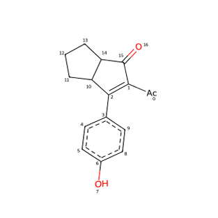 CC(=O)C1=C(c2ccc(O)cc2)C2CCCC2C1=O